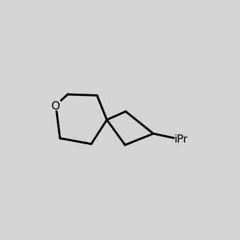 CC(C)C1CC2(CCOCC2)C1